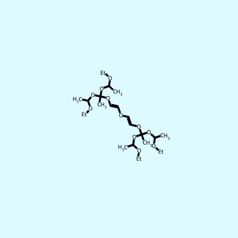 CCOC(C)OC(C)(OC=COC=COC(C)(OC(C)OCC)OC(C)OCC)OC(C)OCC